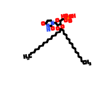 CCCCCCCCCCCCCCCC1(CCCCCCCCCCCCCCC)OC2C(COP(=O)(O)O)OC(n3ccc(=O)[nH]c3=O)C2O1